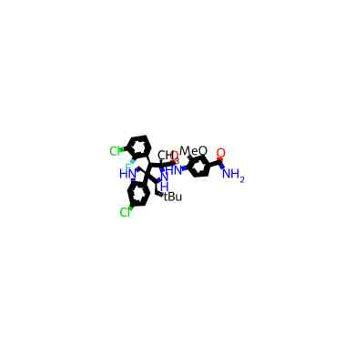 COc1cc(C(N)=O)ccc1NC(=O)[C@]1(C)N[C@@H](CC(C)(C)C)[C@@]2(CNc3cc(Cl)ccc32)[C@H]1c1cccc(Cl)c1F